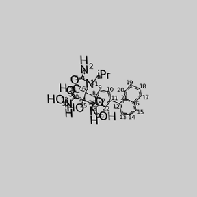 CC(C)CN(C(N)=O)C(C)(c1ccc(-c2cccc3ccccc23)cc1)C(O)(C(=O)NO)C(=O)NO